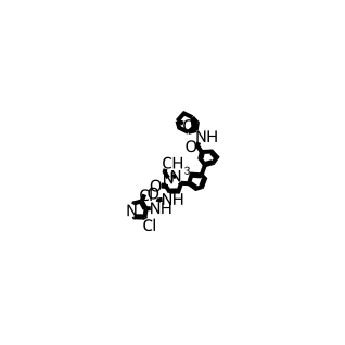 CCn1nc(-c2cccc(-c3cccc(C(=O)NC45CC6CC(CC4C6)C5)c3)c2)cc(NC(=O)Nc2c(Cl)cncc2Cl)c1=O